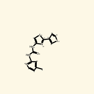 Cc1ccnc(NC(=O)Nc2csc(-c3ccsc3)n2)c1